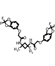 CC1(NC(=O)COc2ccc3c(c2)OC(F)(F)O3)CC(C)(NC(=O)COc2ccc3c(c2)OC(F)(F)O3)C1